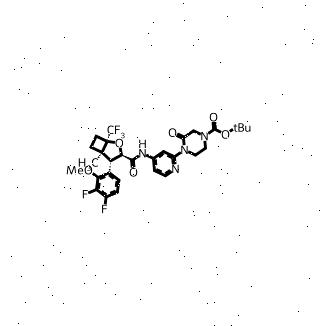 COc1c([C@H]2[C@H](C(=O)Nc3ccnc(N4CCN(C(=O)OC(C)(C)C)CC4=O)c3)O[C@]3(C(F)(F)F)CC[C@]23C)ccc(F)c1F